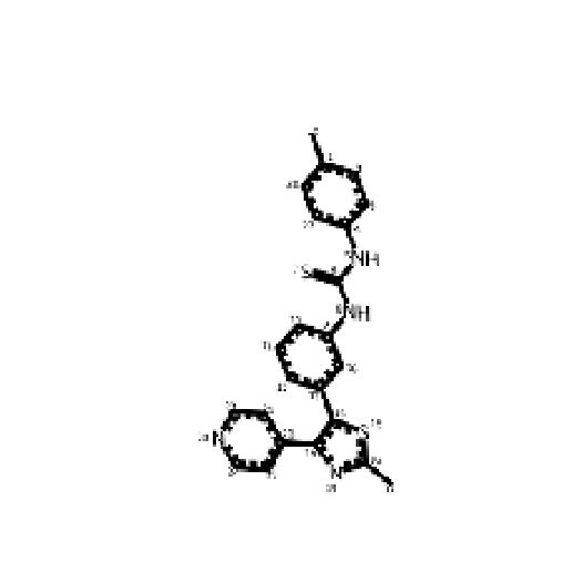 Cc1ccc(NC(=S)Nc2cccc(-c3sc(C)nc3-c3ccncc3)c2)cc1